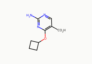 Nc1ncc(C(=O)O)c(OC2CCC2)n1